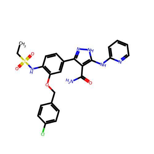 CCS(=O)(=O)Nc1ccc(-c2n[nH]c(Nc3ccccn3)c2C(N)=O)cc1OCc1ccc(Cl)cc1